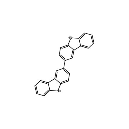 c1ccc2c(c1)[nH]c1ccc(-c3ccc4[nH]c5ccccc5c4c3)cc12